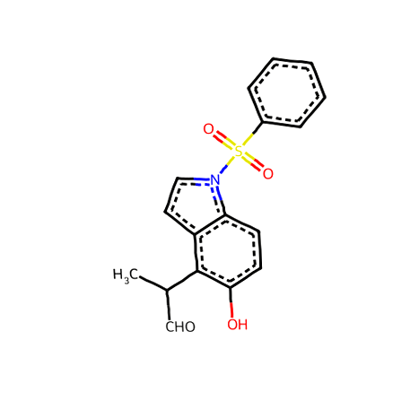 CC(C=O)c1c(O)ccc2c1ccn2S(=O)(=O)c1ccccc1